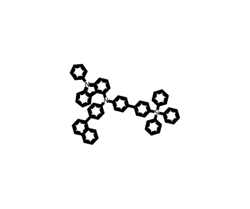 c1ccc(-n2c3ccccc3c3c(N(c4ccc(-c5ccc([Si](c6ccccc6)(c6ccccc6)c6ccccc6)cc5)cc4)c4ccc(-c5cccc6ccccc56)cc4)cccc32)cc1